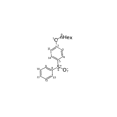 CCCCCCOc1ccc([S+]([O-])c2ccccc2)cc1